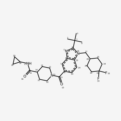 CC(C)(C)c1nc2cc(C(=O)N3CCC(C(=O)NC4CC4)CC3)ccc2n1CC1CCC(F)(F)CC1